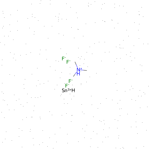 C[NH+](C)C.[F-].[F-].[F-].[F-].[SnH+3]